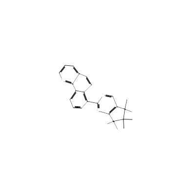 CCC1(C)c2nc(-c3cccc4c3ccc3cccnc34)ncc2C(C)(C)C1(C)C